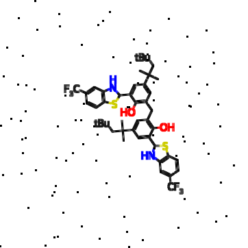 CC(C)(C)CC(C)(C)c1cc(Cc2cc(C(C)(C)CC(C)(C)C)cc(C3Nc4cc(C(F)(F)F)ccc4S3)c2O)c(O)c(C2Nc3cc(C(F)(F)F)ccc3S2)c1